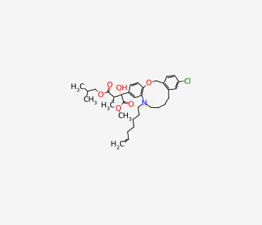 C=CCCCCCN1CCCCc2cc(Cl)ccc2COc2ccc([C@@](O)(C(=O)OC)[C@@H](C)C(=O)OCC(C)C)cc21